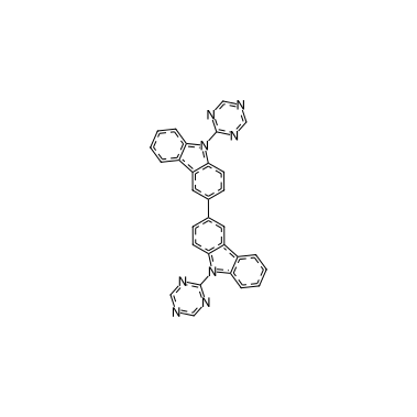 c1ccc2c(c1)c1cc(-c3ccc4c(c3)c3ccccc3n4-c3ncncn3)ccc1n2-c1ncncn1